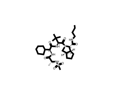 CCCCNC(=O)[C@@H]1[C@H]2CCC[C@H]2CN1C(=O)[C@@H](NC(=O)[C@@H](NC(=O)[C@@H](C)NS(C)(=O)=O)C1CCCCC1)C(C)(C)C